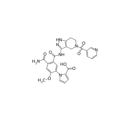 COc1cc(C(N)=O)c(C(=O)Nc2n[nH]c3c2CN(S(=O)(=O)c2cccnc2)CC3)cc1-n1cccc1C(=O)O